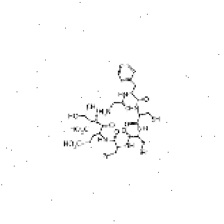 CC(C)C[C@H](NC(=O)[C@H](CS)NC(=O)[C@H](Cc1ccccc1)NC(=O)CN)C(=O)N[C@@H](CC(C)C)C(=O)N[C@@H](CCC(=O)O)C(=O)N[C@H](C(=O)O)[C@@H](C)O